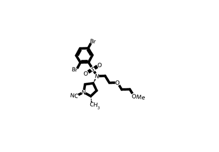 COCCOCCN([C@@H]1C[C@H](C)N(C#N)C1)S(=O)(=O)c1cc(Br)ccc1Br